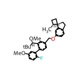 COc1ccc(F)c(-c2ccc(COc3ccc4c(c3)[C@@]3(CC4)CC[C@@H]3C)cc2[C@H](OC)C(C)(C)C)c1